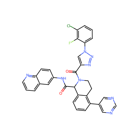 O=C(Nc1ccc2ncccc2c1)C1c2cccc(-c3cncnc3)c2CCN1C(=O)c1cn(-c2cccc(Cl)c2F)nn1